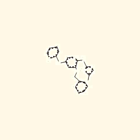 Cc1csc(Nc2ncc(Sc3ccccn3)cc2OCc2ccccc2)n1